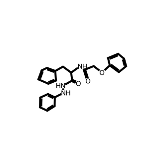 O=C(COc1ccccc1)NC(Cc1ccccc1)C(=O)NNc1ccccc1